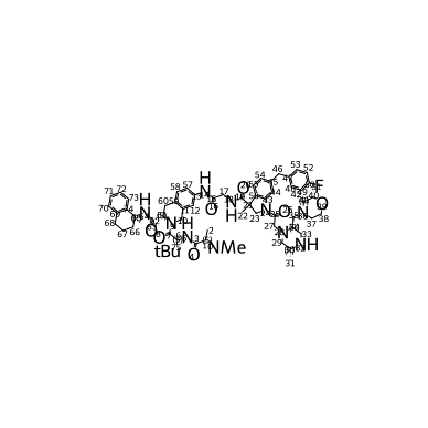 CN[C@@H](C)C(=O)N[C@H](C(=O)N1Cc2cc(NC(=O)CNC(=O)C3(C)CN(C(=O)CN4C[C@@H](C)NC[C@@H]4CN4CCOC[C@H]4C)c4cc(Cc5ccc(F)cc5)ccc43)ccc2C[C@H]1C(=O)N[C@@H]1CCCc2ccccc21)C(C)(C)C